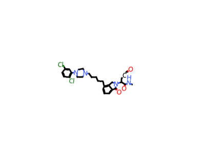 CNC(=O)C(CCC=O)N1Cc2c(CCCCCN3CCN(c4cc(Cl)ccc4Cl)CC3)cccc2C1=O